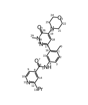 Cc1ccc(NC(=O)c2ccnc(C(C)C)c2)cc1-c1cc(N2CCOCC2)c(=O)n(C)n1